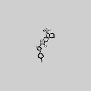 CS(=O)(=O)N1CC2(CCC(C(=O)Nc3cn(-c4ccc(F)cc4)cn3)CC2)c2ccccc21